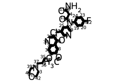 COc1cc2c(Oc3ncc(N(C(=O)CC(N)=O)c4ccc(F)cc4)cc3Cl)ccnc2cc1OCCCN1CCOCC1